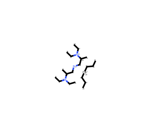 CCN(CC)C(C)C[N-]CC(C)N(CC)CC.CC[CH2][Ga+][CH2]CC